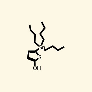 CCC[CH2][Sn]([CH2]CCC)([CH2]CCC)[c]1ccc(O)s1